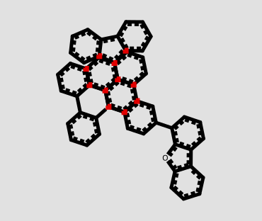 c1ccc(-c2ccccc2-n2c3ccccc3c3ccccc32)c(-c2ccccc2N(c2ccc(-c3cccc4c3oc3ccccc34)cc2)c2cccc3ccccc23)c1